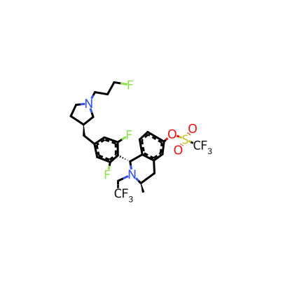 C[C@@H]1Cc2cc(OS(=O)(=O)C(F)(F)F)ccc2[C@@H](c2c(F)cc(C[C@H]3CCN(CCCF)C3)cc2F)N1CC(F)(F)F